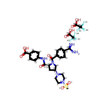 CS(=O)(=O)N1CCN([C@H]2C[C@@H](C(=O)Nc3ccc(C(=O)O)cc3)N(C(=O)c3ccc(C(=N)N)cc3)C2)CC1.O=C(O)C(F)(F)F.O=C(O)C(F)(F)F